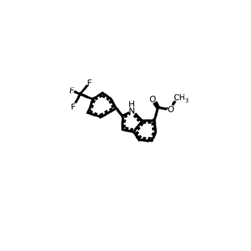 COC(=O)c1cccc2cc(-c3ccc(C(F)(F)F)cc3)[nH]c12